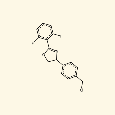 Fc1cccc(F)c1C1=NC(c2ccc(CCl)cc2)CO1